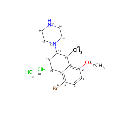 COc1ccc(Br)c2c1C(C)C(N1CCNCC1)CC2.Cl.Cl